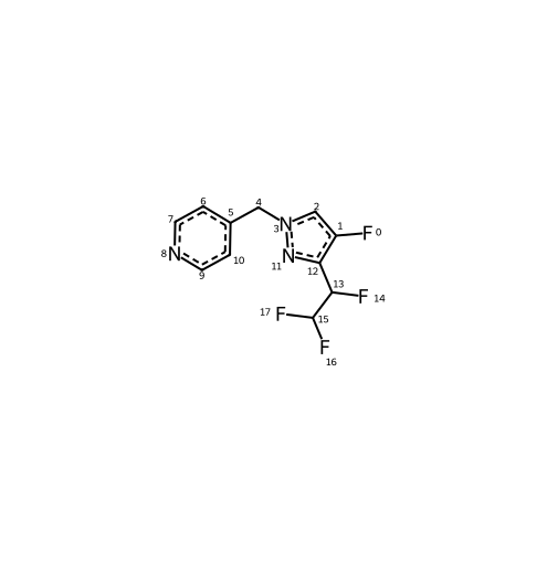 Fc1cn(Cc2ccncc2)nc1C(F)C(F)F